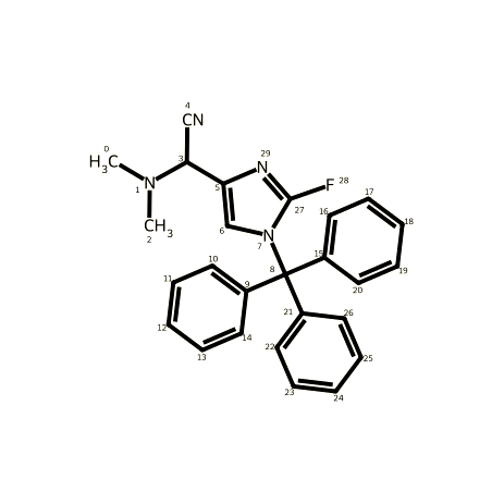 CN(C)C(C#N)c1cn(C(c2ccccc2)(c2ccccc2)c2ccccc2)c(F)n1